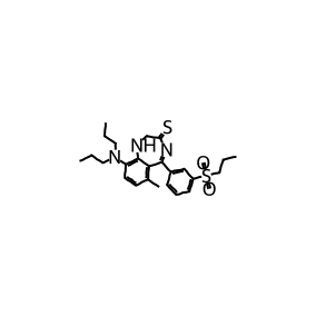 CCCN(CCC)c1ccc(C)c2c1NCC(=S)N=C2c1cccc(S(=O)(=O)CCC)c1